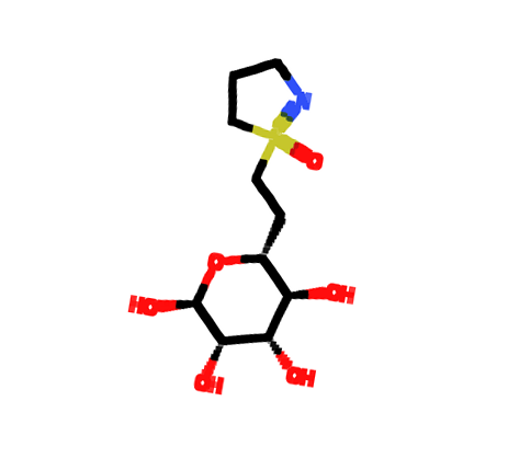 O=S1(CC[C@H]2O[C@H](O)[C@@H](O)[C@@H](O)[C@@H]2O)=NCCC1